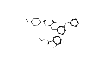 CCOC(=O)c1ccccc1N.Cl.NC[C@H]1CC[C@H](C(=O)NC(Cc2cccc(Oc3ccccc3)c2)C(=O)O)CC1